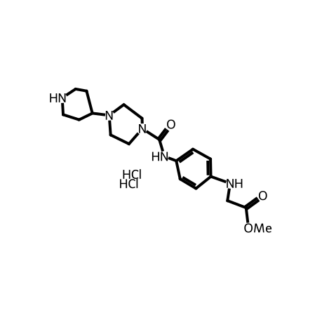 COC(=O)CNc1ccc(NC(=O)N2CCN(C3CCNCC3)CC2)cc1.Cl.Cl